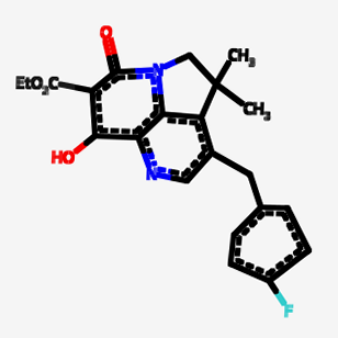 CCOC(=O)c1c(O)c2ncc(Cc3ccc(F)cc3)c3c2n(c1=O)CC3(C)C